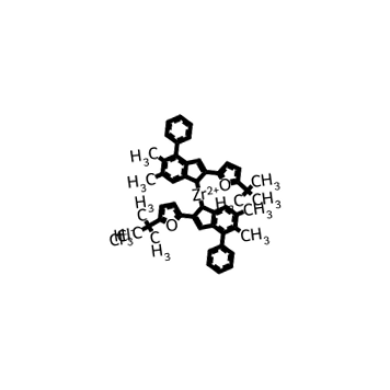 Cc1cc2c(c(-c3ccccc3)c1C)C=C(c1ccc(C(C)(C)C)o1)[CH]2[Zr+2][CH]1C(c2ccc(C(C)(C)C)o2)=Cc2c1cc(C)c(C)c2-c1ccccc1.[Cl-].[Cl-]